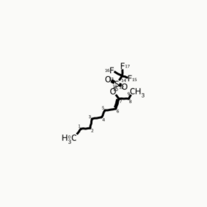 CCCCCCC=C(CC)OS(=O)(=O)C(F)(F)F